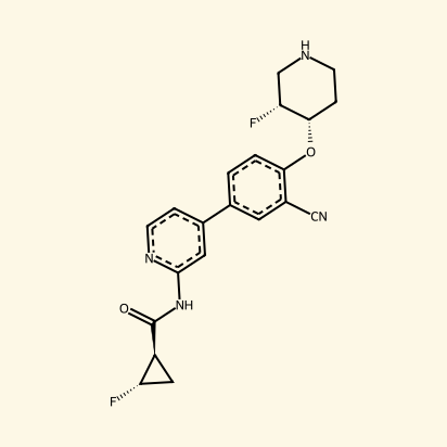 N#Cc1cc(-c2ccnc(NC(=O)[C@H]3C[C@@H]3F)c2)ccc1O[C@H]1CCNC[C@H]1F